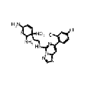 NC1=NC(N)C(CCNc2nc(-c3ccc(Cl)cc3Cl)cc3ncnn23)([N+](=O)[O-])C=C1